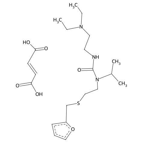 CCN(CC)CCNC(=O)N(CCSCc1ccco1)C(C)C.O=C(O)C=CC(=O)O